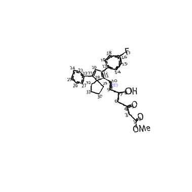 COC(=O)CC(=O)CC(O)/C=C/C1=C(c2ccc(F)cc2)C=C(c2ccccc2)C12CCCC2